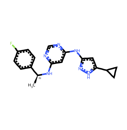 C[C@H](Nc1cc(Nc2cc(C3CC3)[nH]n2)ncn1)c1ccc(F)cc1